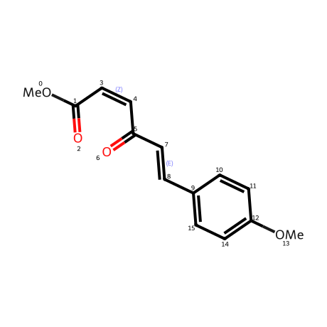 COC(=O)/C=C\C(=O)/C=C/c1ccc(OC)cc1